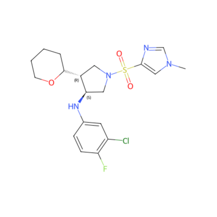 Cn1cnc(S(=O)(=O)N2C[C@@H](Nc3ccc(F)c(Cl)c3)[C@H](C3CCCCO3)C2)c1